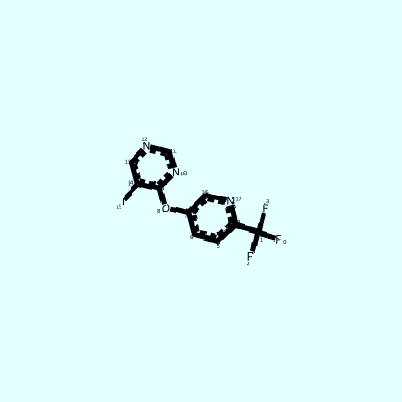 FC(F)(F)c1ccc(Oc2ncncc2I)cn1